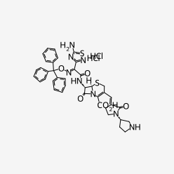 Cl.Cl.Nc1nc(C(=NOC(c2ccccc2)(c2ccccc2)c2ccccc2)C(=O)N[C@@H]2C(=O)N3C(C(=O)O)=C(C=C4CCN([C@@H]5CCNC5)C4=O)CS[C@H]23)ns1